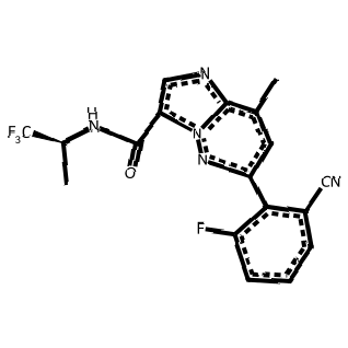 Cc1cc(-c2c(F)cccc2C#N)nn2c(C(=O)N[C@@H](C)C(F)(F)F)cnc12